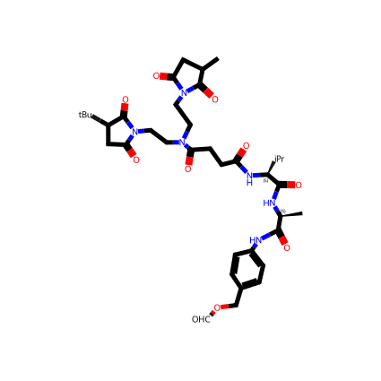 CC1CC(=O)N(CCN(CCN2C(=O)CC(C(C)(C)C)C2=O)C(=O)CCC(=O)N[C@H](C(=O)N[C@@H](C)C(=O)Nc2ccc(COC=O)cc2)C(C)C)C1=O